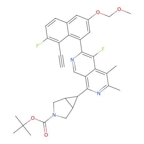 C#Cc1c(F)ccc2cc(OCOC)cc(-c3ncc4c(C5C6CN(C(=O)OC(C)(C)C)CC65)nc(C)c(C)c4c3F)c12